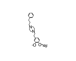 COc1cc(CCN2CCN(CCCc3ccccc3)CC2)ccc1OCC[18F]